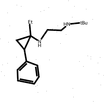 CCC1(NCCNC(C)(C)C)CC1c1ccccc1